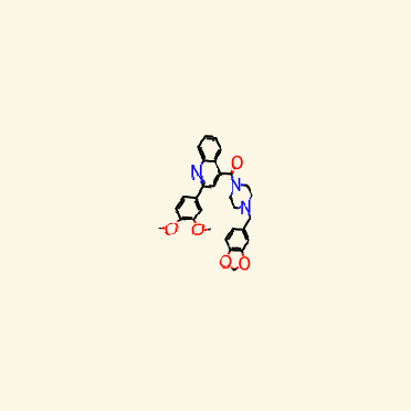 COc1ccc(-c2cc(C(=O)N3CCN(Cc4ccc5c(c4)OCO5)CC3)c3ccccc3n2)cc1OC